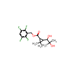 CC(C)(O)C(O)C1C(C(=O)OCc2c(F)c(F)cc(F)c2F)C1(C)C